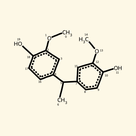 COc1cc(C(C)c2ccc(O)c(OC)c2)ccc1O